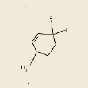 CC1C=CC(F)(I)CC1